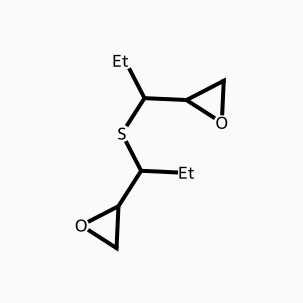 CCC(SC(CC)C1CO1)C1CO1